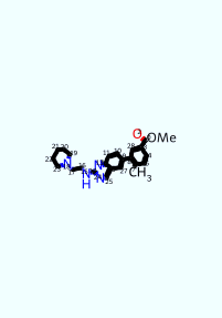 COC(=O)c1ccc(C)c(-c2ccc3nc(NCCN4CCCCC4)ncc3c2)c1